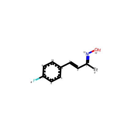 CCC(/C=C/c1ccc(F)cc1)=NO